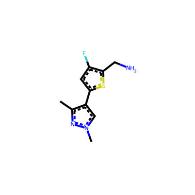 Cc1nn(C)cc1-c1cc(F)c(CN)s1